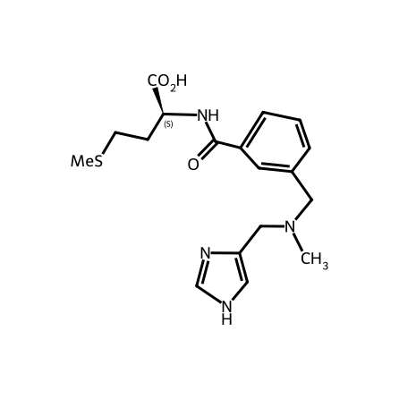 CSCC[C@H](NC(=O)c1cccc(CN(C)Cc2c[nH]cn2)c1)C(=O)O